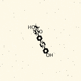 C[C@H]([C@@H](C)O)n1ncn(-c2ccc(N3CCN(c4ccc(O)cc4)CC3)cc2)c1=O